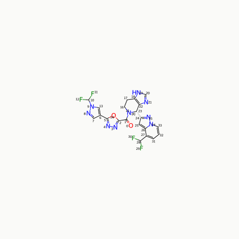 O=C(c1nnc(-c2cnn(C(F)F)c2)o1)N1CCc2[nH]cnc2[C@@H]1c1cc2c(C(F)F)cccn2n1